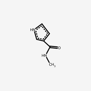 CNC(=O)c1cc[nH]c1